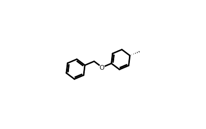 C[C@@H]1C=CC(OCc2ccccc2)=CC1